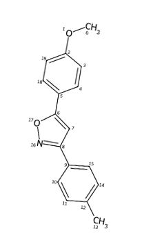 COc1ccc(-c2cc(-c3ccc(C)cc3)no2)cc1